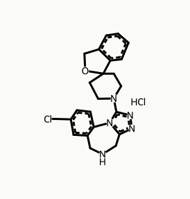 Cl.Clc1ccc2c(c1)CNCc1nnc(N3CCC4(CC3)OCc3ccccc34)n1-2